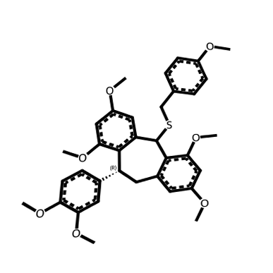 COc1ccc(CSC2c3cc(OC)cc(OC)c3[C@@H](c3ccc(OC)c(OC)c3)Cc3cc(OC)cc(OC)c32)cc1